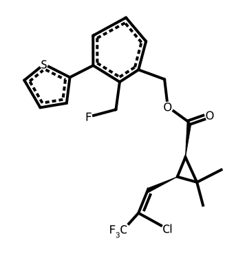 CC1(C)[C@H](C(=O)OCc2cccc(-c3cccs3)c2CF)[C@@H]1/C=C(\Cl)C(F)(F)F